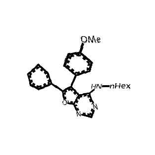 CCCCCCNc1ncnc2oc(-c3ccccc3)c(-c3ccc(OC)cc3)c12